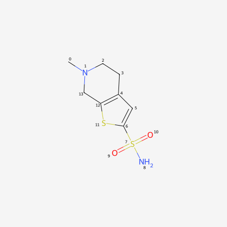 CN1CCc2cc(S(N)(=O)=O)sc2C1